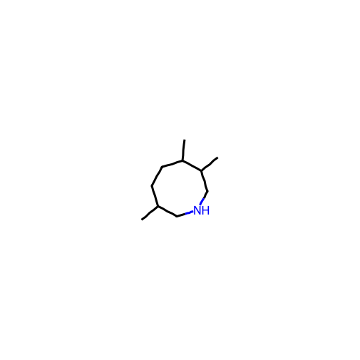 CC1CCC(C)C(C)CNC1